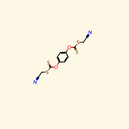 N#CCSC(=S)Oc1ccc(OC(=S)SCC#N)cc1